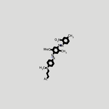 COc1cc(/N=N/c2ccc(C)cc2[N+](=O)[O-])c(C)cc1/N=N/c1ccc(N(C)CCCC(C)=O)cc1